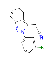 N#CCc1c2ccccc2nn1-c1cccc(Br)c1